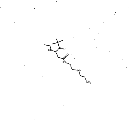 CCNC(CC(=O)NCCNCCN)C(=O)C(C)(C)C